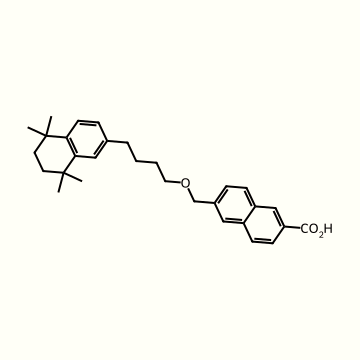 CC1(C)CCC(C)(C)c2cc(CCCCOCc3ccc4cc(C(=O)O)ccc4c3)ccc21